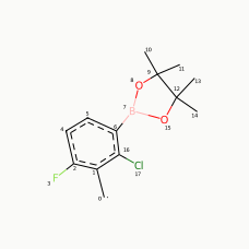 [CH2]c1c(F)ccc(B2OC(C)(C)C(C)(C)O2)c1Cl